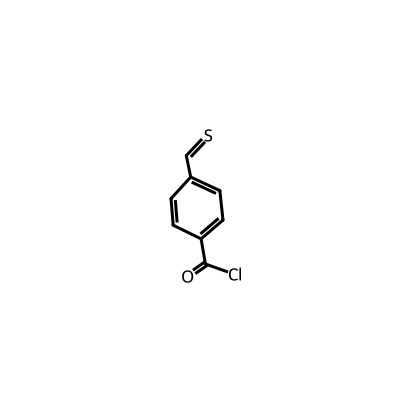 O=C(Cl)c1ccc(C=S)cc1